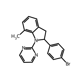 Cc1cccc2c1N(c1ncccn1)C(c1ccc(Br)cc1)C2